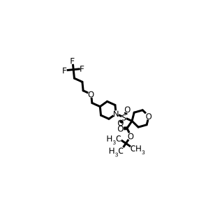 CC(C)(C)OC(=O)C1(S(=O)(=O)N2CCC(COCCCC(F)(F)F)CC2)CCOCC1